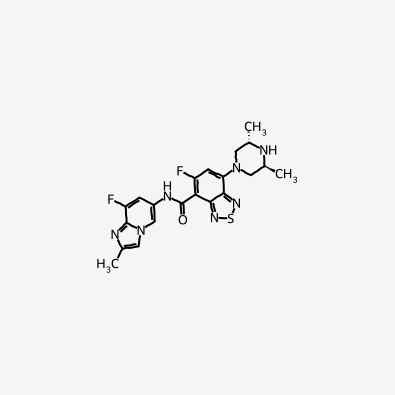 Cc1cn2cc(NC(=O)c3c(F)cc(N4C[C@H](C)N[C@@H](C)C4)c4nsnc34)cc(F)c2n1